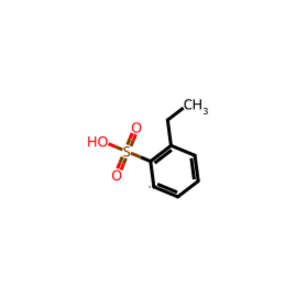 CCc1ccc[c]c1S(=O)(=O)O